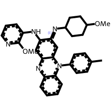 COc1ncccc1Nc1cc2nc3ccccc3n(-c3ccc(C)cc3)c-2c/c1=N\C1CCC(OC)CC1